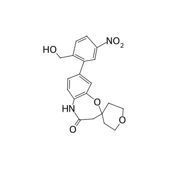 O=C1CC2(CCOCC2)Oc2cc(-c3cc([N+](=O)[O-])ccc3CO)ccc2N1